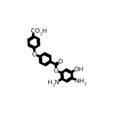 Nc1cc(N)c(OC(=O)c2ccc(Oc3ccc(C(=O)O)cc3)cc2)cc1O